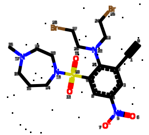 C#Cc1cc([N+](=O)[O-])cc(S(=O)(=O)N2CCCN(C)CC2)c1N(CCBr)CCBr